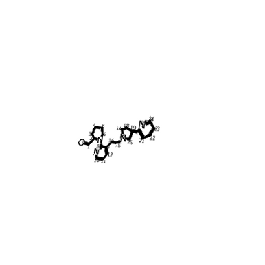 O=CC1CCCCN1c1ncccc1CCN1CCC(c2ccccn2)C1